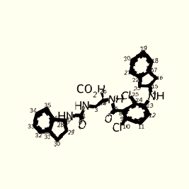 O=C(NC[C@H](NC(=O)c1c(Cl)ccc(NC2Cc3ccccc3C2)c1Cl)C(=O)O)N[C@@H]1CCc2ccccc21